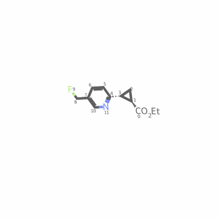 CCOC(=O)[C@@H]1C[C@H]1c1ccc(CF)cn1